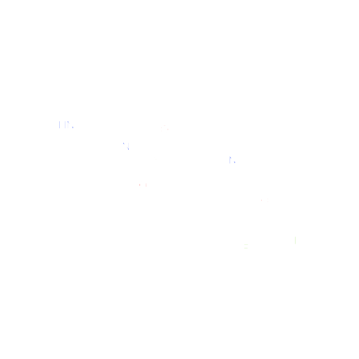 Cc1nc(OC(F)F)ccc1S(=O)(=O)N1CCNCC1